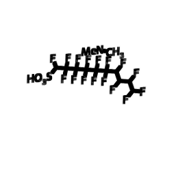 CNC.O=S(=O)(O)C(F)C(F)(F)C(F)(F)C(F)(F)C(F)(F)C(F)(F)C(F)C(F)C(F)C(F)F